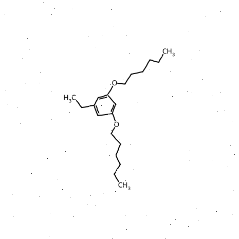 CCCCCCOc1cc(CC)cc(OCCCCCC)c1